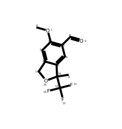 COc1cc2c(cc1C=O)C(C)(C(F)(F)F)OC2